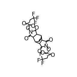 O=C1C2C3C=CC(C2C(=O)N1OS(=O)(=O)CC(F)(F)F)C1C(=O)N(OS(=O)(=O)CC(F)(F)F)C(=O)C31